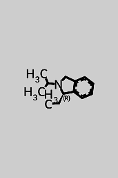 CC[C@@H]1c2ccccc2CN1C(C)C